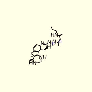 C=C(/C=C(C)\N=C(/C)Nc1ccc2c(ccc3sc4c(c32)NCCNC4=C)n1)NCCC